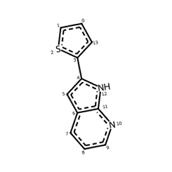 c1csc(-c2cc3cccnc3[nH]2)c1